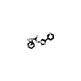 O=C(N[C@H]1CN2CCC1CC2)ON1C=C(c2cccnc2)SC1